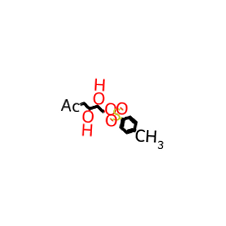 CC(=O)C[C@H](O)[C@H](O)COS(=O)(=O)c1ccc(C)cc1